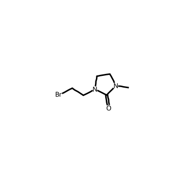 CN1CCN(CCBr)C1=O